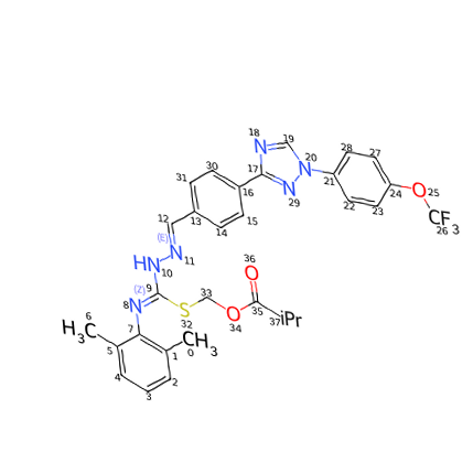 Cc1cccc(C)c1/N=C(/N/N=C/c1ccc(-c2ncn(-c3ccc(OC(F)(F)F)cc3)n2)cc1)SCOC(=O)C(C)C